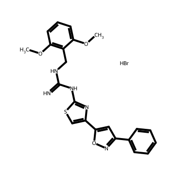 Br.COc1cccc(OC)c1CNC(=N)Nc1nc(-c2cc(-c3ccccc3)no2)cs1